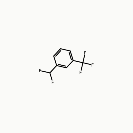 F[C](F)c1cccc(C(F)(F)F)c1